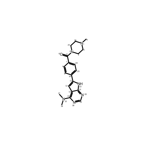 CN1CCN(C(=O)c2ccc(-c3cc4c(N(C)C)ncnc4[nH]3)cc2)CC1